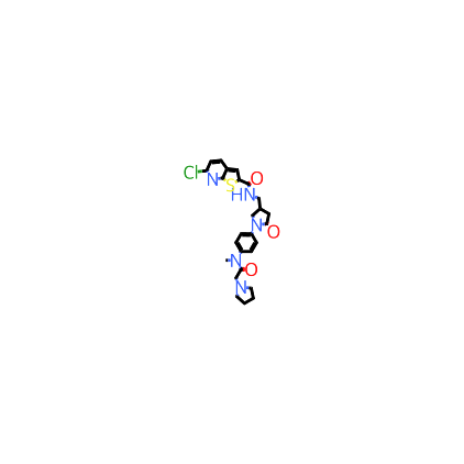 CN(C(=O)CN1CCCC1)c1ccc(N2CC(CNC(=O)C3C=C4C=CC(Cl)=NC4S3)CC2=O)cc1